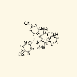 O=C(O)c1[nH]c2cc(Cl)ccc2c1-c1c(-c2ccccc2)ncn1Cc1ccc(Cl)cc1